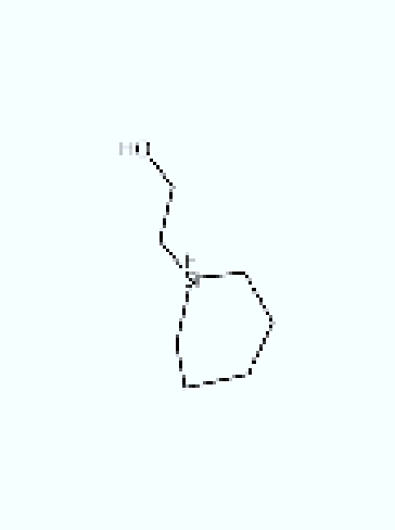 OCC[SiH]1CCCCC1